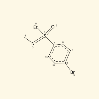 CCS(=O)(=NC)c1ccc(Br)cc1